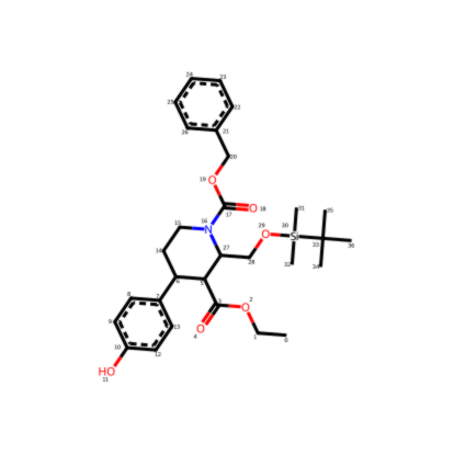 CCOC(=O)C1C(c2ccc(O)cc2)CCN(C(=O)OCc2ccccc2)C1CO[Si](C)(C)C(C)(C)C